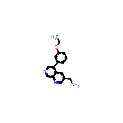 CCOc1cccc(-c2cncc3ncc(CN)cc23)c1